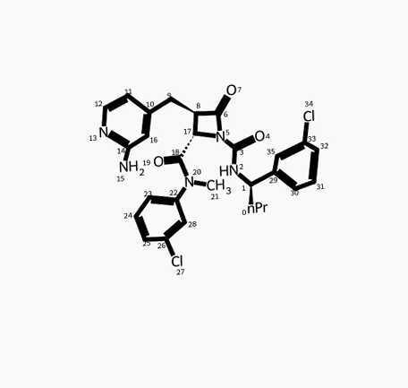 CCC[C@@H](NC(=O)N1C(=O)[C@H](Cc2ccnc(N)c2)[C@H]1C(=O)N(C)c1cccc(Cl)c1)c1cccc(Cl)c1